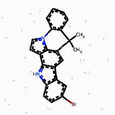 CC1(C)c2ccccc2-n2ccc3c4[nH]c5ccc(Br)cc5c4cc1c32